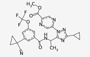 COC(=O)c1cnc(-n2nc(C3CC3)nc2C(C)NC(=O)c2cc(OC(F)(F)F)cc(C3(C#N)CC3)c2)cn1